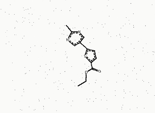 CCOC(=O)c1ccc(-c2cnc(C)nc2)s1